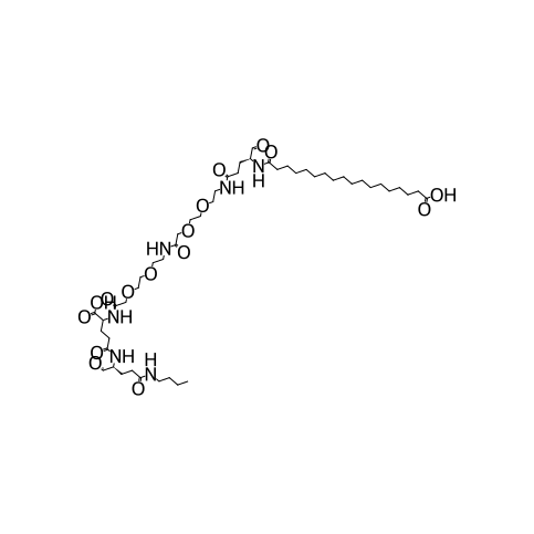 CCCCNC(=O)CC[C@@H](C=O)NC(=O)CCC(NC(=O)COCCOCCNC(=O)COCCOCCNC(=O)CC[C@@H](C=O)NC(=O)CCCCCCCCCCCCCCCCC(=O)O)C(=O)O